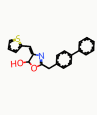 OC1OC(Cc2ccc(-c3ccccc3)cc2)=N/C1=C/c1cccs1